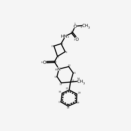 COC(=O)NC1CC(C(=O)N2CCC(C)(c3ccccc3)CC2)C1